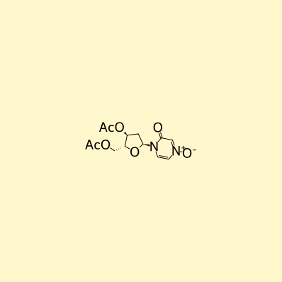 CC(=O)OC[C@H]1O[C@H](n2cc[n+]([O-])cc2=O)C[C@@H]1OC(C)=O